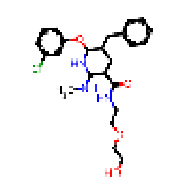 CNC1NC(Oc2cccc(Cl)c2)C(Cc2ccccc2)CC1C(=O)NCCOCCO